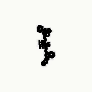 COOCC(C)(CCCCNC(=S)NCCCCC(C)(C(=O)OC)c1ccccc1)c1ccccc1